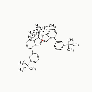 CC[CH2][Hf]([CH3])([CH3])([CH3])(=[SiH2])([CH]1C=Cc2c(-c3cccc(C(C)(C)C)c3)cccc21)[CH]1C=Cc2c(-c3cccc(C(C)(C)C)c3)cccc21